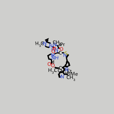 CCn1c(-c2cccnc2[C@H](C)OC)c2c3cc(ccc31)-c1csc(n1)C[C@H](NC(=O)[C@H](C(C)C)N(C)C(=O)N1CCN(C)C3(CC3)C1)C(=O)N1CCC[C@H](N1)C(=O)OCC(C)(C)C2